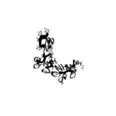 CO/N=C(\C(=O)N[C@@H]1C(=O)N2C(C(=O)[O-])=C(Cn3cn[n+]4c(C)cccc34)CS[C@@H]12)c1nc(N)sc1Cl